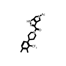 CC(=O)N1Cc2[nH]nc(C(=O)N3CCC(c4ccc(C)c(C)c4C(F)(F)F)CC3)c2C1